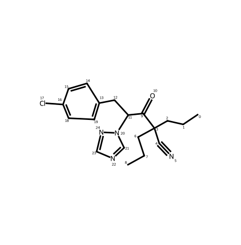 CCCC(C#N)(CCC)C(=O)C(Cc1ccc(Cl)cc1)n1cncn1